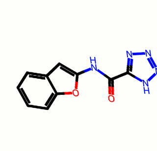 O=C(Nc1cc2ccccc2o1)c1nnn[nH]1